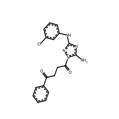 Nc1nc(Nc2cccc(Cl)c2)nn1C(=O)CCC(=O)c1ccccc1